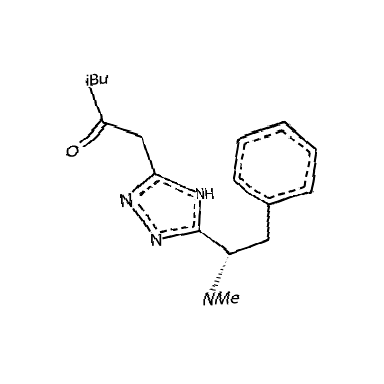 CCC(C)C(=O)Cc1nnc([C@H](Cc2ccccc2)NC)[nH]1